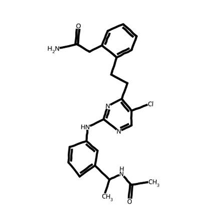 CC(=O)NC(C)c1cccc(Nc2ncc(Cl)c(CCc3ccccc3CC(N)=O)n2)c1